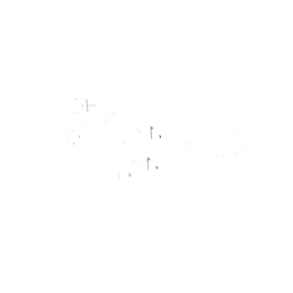 O=C(O)c1ccc2nc3n(c(=O)c2c1)CCCC3=Cc1ccccc1